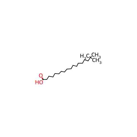 CC(C)(C)CCCCCCCCCCCCCCCC(=O)O